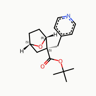 CC(C)(C)OC(=O)[C@@]1(Cc2ccncc2)C[C@@H]2CC[C@H]1O2